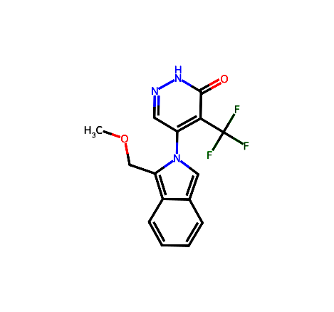 COCc1c2ccccc2cn1-c1cn[nH]c(=O)c1C(F)(F)F